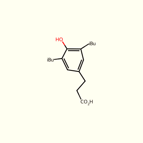 CCC(C)c1cc(CCC(=O)O)cc(C(C)CC)c1O